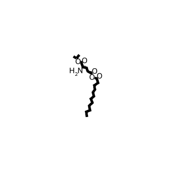 CCCCCCCCCCCC(=O)OC(=O)CC[C@H](N)C(=O)OC(C)C